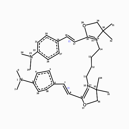 CN(C)c1ccc(/C=C/C2=[N+](CCCC[N+]3=C(/C=C/c4ccc(N(C)C)cc4)OCC3(C)C)C(C)(C)CO2)cc1